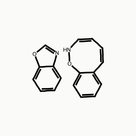 c1ccc2ccccc2o[nH]c1.c1ccc2ocnc2c1